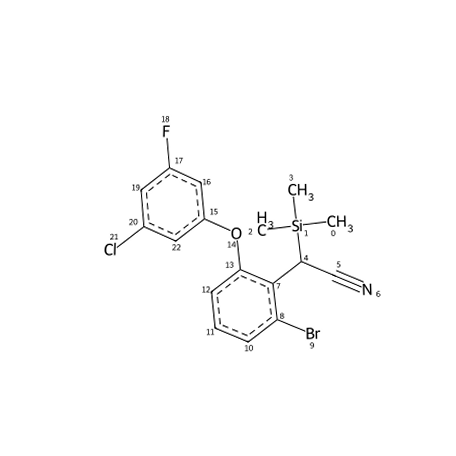 C[Si](C)(C)C(C#N)c1c(Br)cccc1Oc1cc(F)cc(Cl)c1